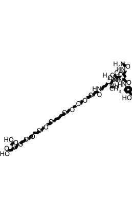 CN[C@@H](CCCCNC(=O)CCOCCOCCOCCOCCOCCCCCOCCOCCOCCOCCOCCOCCN(CC(=O)O)CC(=O)O)C(=O)N[C@H](C(=O)N[C@@H](CCCNC(N)=O)C(=O)Nc1ccc(CO)cc1)C(C)C